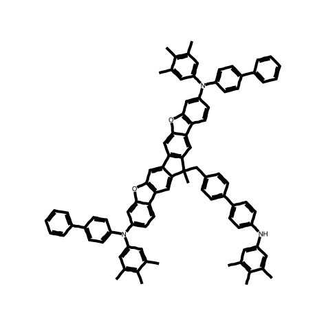 Cc1cc(Nc2ccc(-c3ccc(CC4(C)c5cc6c(cc5-c5cc7oc8cc(N(c9ccc(-c%10ccccc%10)cc9)c9cc(C)c(C)c(C)c9)ccc8c7cc54)oc4cc(N(c5ccc(-c7ccccc7)cc5)c5cc(C)c(C)c(C)c5)ccc46)cc3)cc2)cc(C)c1C